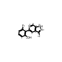 Oc1cccc(F)c1-c1cc2c(I)n[nH]c2cn1